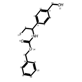 O=C(NC(CF)c1ccc(CO)cc1)OCc1ccccc1